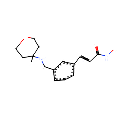 O=C(/C=C/c1cccc(CNC2(C(=O)O)CCOCC2)c1)NO